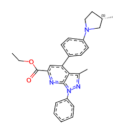 CCOC(=O)c1cc(-c2ccc(N3CC[C@H](C)C3)cc2)c2c(C)nn(-c3ccccc3)c2n1